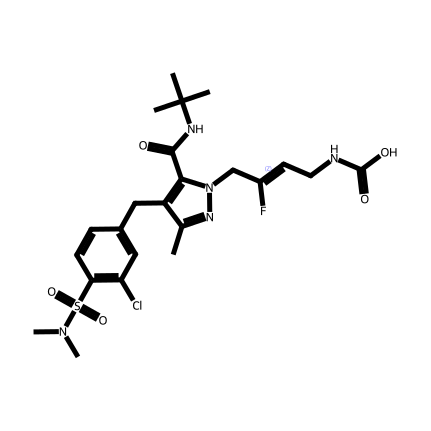 Cc1nn(C/C(F)=C/CNC(=O)O)c(C(=O)NC(C)(C)C)c1Cc1ccc(S(=O)(=O)N(C)C)c(Cl)c1